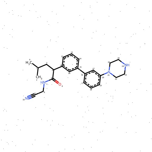 CC(C)CC(C(=O)NCC#N)c1cccc(-c2cccc(N3CCNCC3)c2)c1